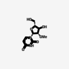 CO[C@H]1C(O)[C@@H](CO)O[C@H]1n1ccc(=O)[nH]c1=O